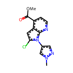 COC(=O)c1ccnc2c1cc(Cl)n2-c1cnn(C)c1